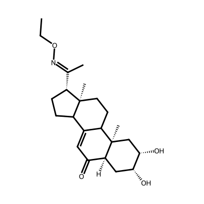 CCO/N=C(\C)[C@H]1CCC2C3=CC(=O)[C@@H]4C[C@@H](O)[C@@H](O)C[C@]4(C)C3CC[C@@]21C